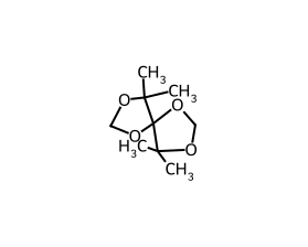 CC1(C)OCOC12OCOC2(C)C